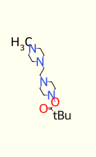 CN1CCN(CCN2CCN(OC(=O)C(C)(C)C)CC2)CC1